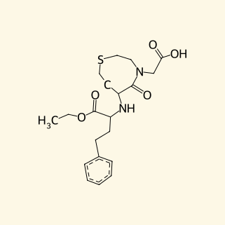 CCOC(=O)C(CCc1ccccc1)NC1CCSCCN(CC(=O)O)C1=O